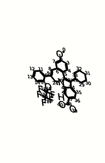 COc1ccc2c(c1)C=C(c1ccccc1OC(F)(F)C(F)(F)F)Cn1c-2c(C2CCCCC2)c2ccc(C(=O)O)cc21